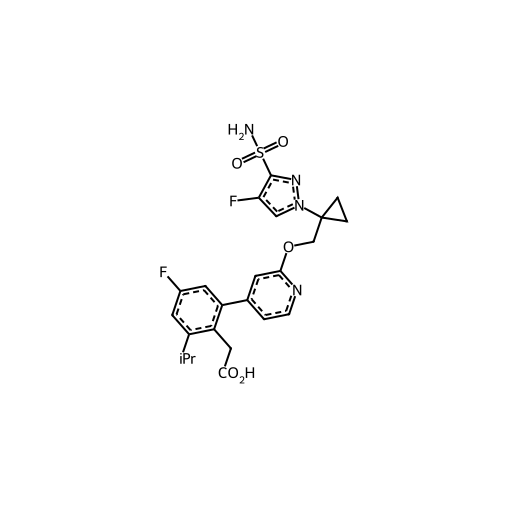 CC(C)c1cc(F)cc(-c2ccnc(OCC3(n4cc(F)c(S(N)(=O)=O)n4)CC3)c2)c1CC(=O)O